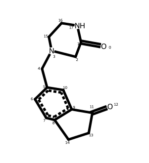 O=C1CN(Cc2ccc3c(c2)C(=O)CC3)CCN1